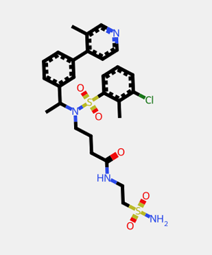 Cc1cnccc1-c1cccc(C(C)N(CCCC(=O)NCCS(N)(=O)=O)S(=O)(=O)c2cccc(Cl)c2C)c1